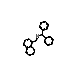 C(=N\C(c1ccccc1)c1ccccc1)/c1cccc2ccccc12